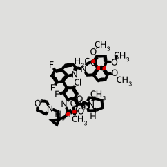 COc1ccc(CN(Cc2ccc(OC)cc2OC)c2ccc3c(F)cc(F)c(-c4c(Cl)cc5c(N6C[C@H]7CC[C@@](C)(C6)N7C(=O)OC(C)(C)C)nc(CC6(CN7CCOCC7)CC6)nc5c4F)c3n2)c(OC)c1